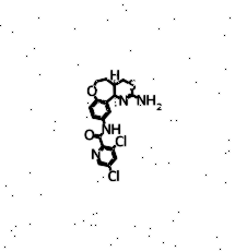 C[C@@]12N=C(N)SC[C@@H]1CCOc1ccc(NC(=O)c3ncc(Cl)cc3Cl)cc12